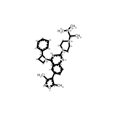 Cc1noc(C)c1-c1ccc2nc(N3CCN(C(C)N(C)C)CC3)nc(N3CCC3c3ccccc3)c2c1